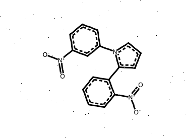 O=[N+]([O-])c1cccc(-n2cccc2-c2ccccc2[N+](=O)[O-])c1